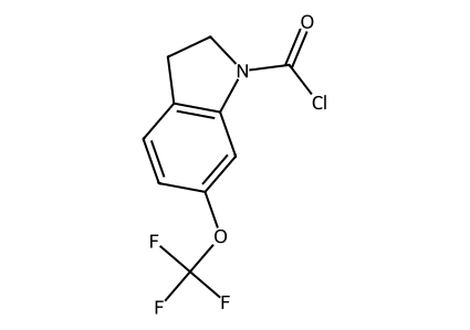 O=C(Cl)N1CCc2ccc(OC(F)(F)F)cc21